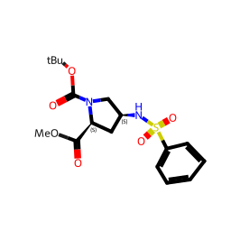 COC(=O)[C@@H]1C[C@H](NS(=O)(=O)c2ccccc2)CN1C(=O)OC(C)(C)C